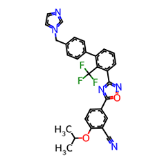 CC(C)Oc1ccc(-c2nc(-c3cccc(-c4ccc(Cn5ccnc5)cc4)c3C(F)(F)F)no2)cc1C#N